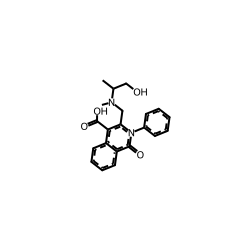 CC(CO)N(C)Cc1c(C(=O)O)c2ccccc2c(=O)n1-c1ccccc1